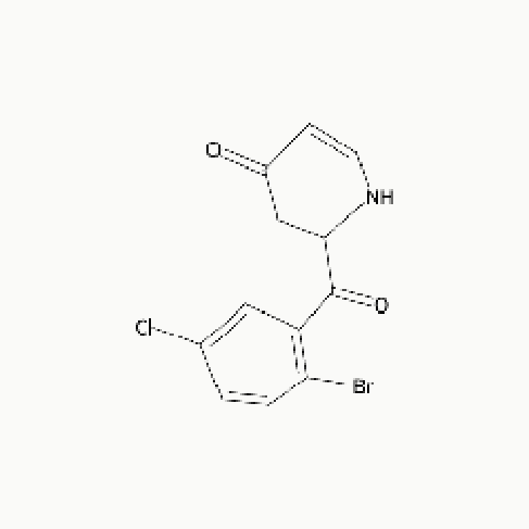 O=C1C=CNC(C(=O)c2cc(Cl)ccc2Br)C1